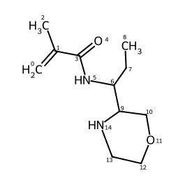 C=C(C)C(=O)NC(CC)C1COCCN1